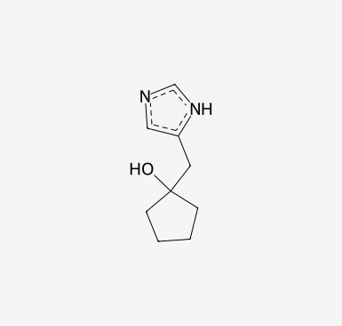 OC1(Cc2cnc[nH]2)CCCC1